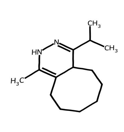 CC1=C2CCCCCCC2C(C(C)C)=NN1